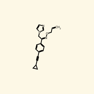 C=CCO/N=C(\Cn1ccnc1)c1ccc(C#CC2CC2)cc1